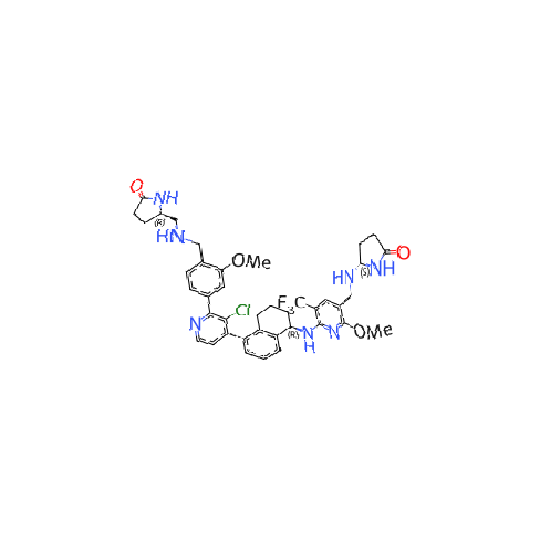 COc1cc(-c2nccc(-c3cccc4c3CCC[C@H]4Nc3nc(OC)c(CN[C@@H]4CCC(=O)N4)cc3C(F)(F)F)c2Cl)ccc1CNC[C@H]1CCC(=O)N1